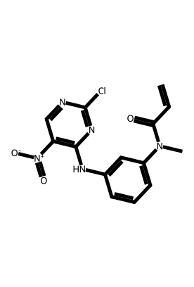 C=CC(=O)N(C)c1cccc(Nc2nc(Cl)ncc2[N+](=O)[O-])c1